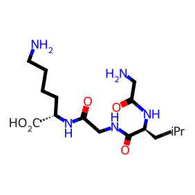 CC(C)C[C@H](NC(=O)CN)C(=O)NCC(=O)N[C@@H](CCCCN)C(=O)O